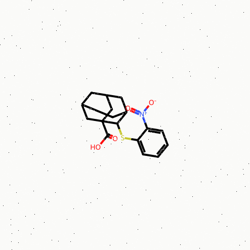 O=C(O)C12CC3CC(CC(C3)C1Sc1ccccc1[N+](=O)[O-])C2